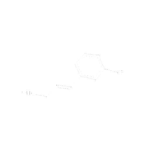 O=CCC=Cc1cccc(C(F)(F)F)c1